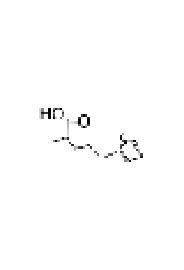 CC(CCCc1cccs1)C(=O)O